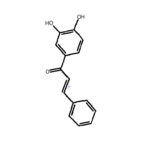 O=C(/C=C/c1ccccc1)c1ccc(O)c(O)c1